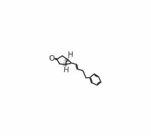 O=C1C[C@@H]2C(C=CCCc3ccccc3)[C@@H]2C1